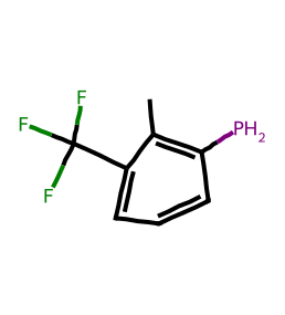 Cc1c(P)cccc1C(F)(F)F